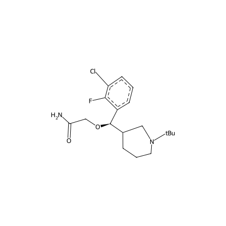 CC(C)(C)N1CCCC([C@@H](OCC(N)=O)c2cccc(Cl)c2F)C1